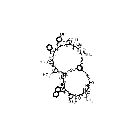 C[C@H]1NC(=O)CCSCc2cc3cc(c2)CSC[C@@H](NC(=O)[C@@H](C)NC(=O)[C@H](Cc2cccc4ccccc24)NC(=O)[C@H](CCC(=O)O)NC(=O)[C@H](CC(N)=O)NC1=O)C(=O)N[C@@H](CCC(=O)O)C(=O)N[C@@H](CC(=O)O)C(=O)N[C@@H](Cc1ccccc1)C(=O)N[C@@H](Cc1ccc(O)cc1)C(=O)N[C@@H](CC(=O)O)C(=O)N[C@@H](C(C)(C)C)C(=O)N[C@H](C(N)=O)CSC3